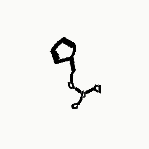 [Cl][Zr]([Cl])[O]CC1C=CC=C1